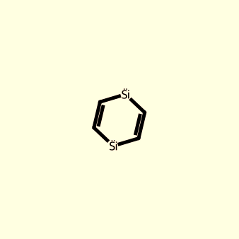 C1=C[Si]C=C[Si]1